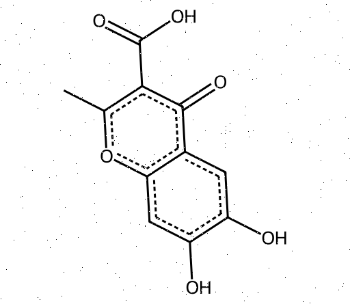 Cc1oc2cc(O)c(O)cc2c(=O)c1C(=O)O